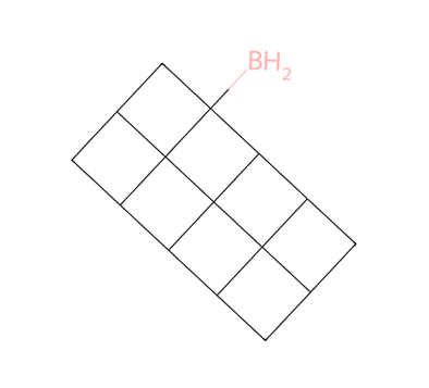 BC12CC3CC4C5C6CC7CC8C1C5(C768)C342